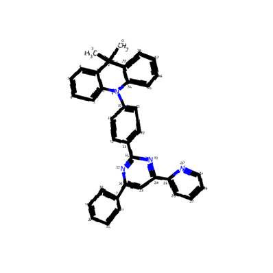 CC1(C)c2ccccc2N(c2ccc(-c3nc(-c4ccccc4)cc(-c4ccccn4)n3)cc2)c2ccccc21